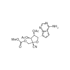 COC(=O)OC[C@@]1(C#N)O[C@@H](c2ccc3c(N)ncnn23)[C@H](OC(C)=O)[C@@H]1OC(C)=O